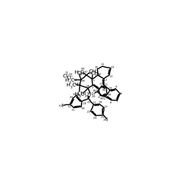 CC12C(=C3Cc4ccccc4C3=C3C=CCCC31)[C](C)([Zr+2](=[C](c1ccc(I)cc1)c1ccc(I)cc1)[CH]1C=CC=C1)C(C)(C)C(C)(C)C2(C)C.[Cl-].[Cl-]